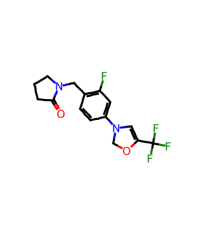 O=C1CCCN1Cc1ccc(N2C=C(C(F)(F)F)OC2)cc1F